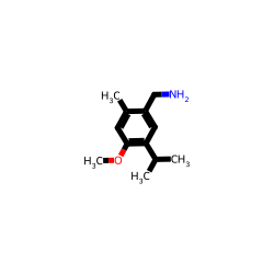 COc1cc(C)c(CN)cc1C(C)C